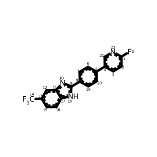 Fc1ccc(-c2ccc(-c3nc4cc(C(F)(F)F)ccc4[nH]3)cc2)cn1